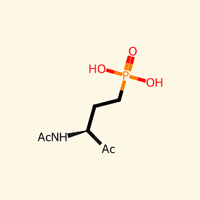 CC(=O)N[C@@H](CCP(=O)(O)O)C(C)=O